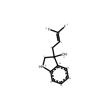 OC1(CC=C(F)F)CNc2ccccc21